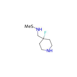 CSNCC1(F)CCNCC1